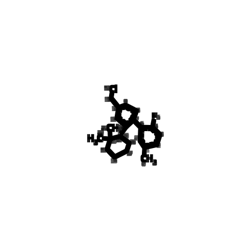 Cc1ccc(F)c(-c2ccc(CCl)cc2[C@H]2CCCCC2(C)C)c1